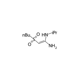 CCCCS(=O)(=O)C=C(N)NC(C)C